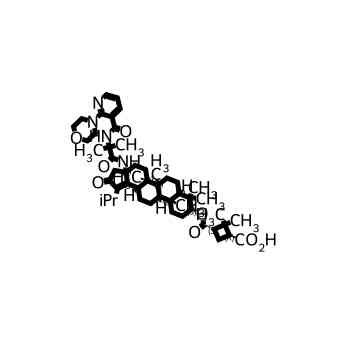 CC(C)C1=C2[C@H]3CC[C@@H]4[C@@]5(C)CC[C@H](OC(=O)[C@H]6C[C@@H](C(=O)O)C6(C)C)C(C)(C)[C@@H]5CC[C@@]4(C)[C@]3(C)CC[C@@]2(NC(=O)C(C)(C)NC(=O)c2cccnc2N2CCOCC2)CC1=O